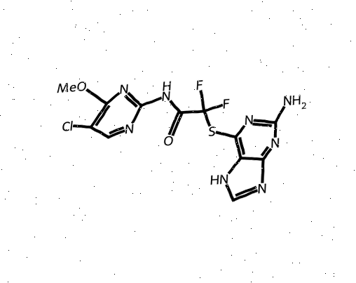 COc1nc(NC(=O)C(F)(F)Sc2nc(N)nc3nc[nH]c23)ncc1Cl